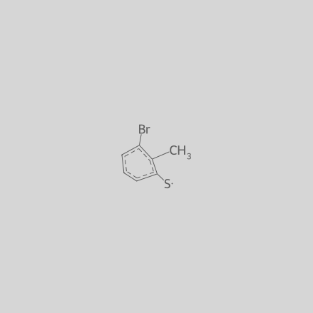 Cc1c([S])cccc1Br